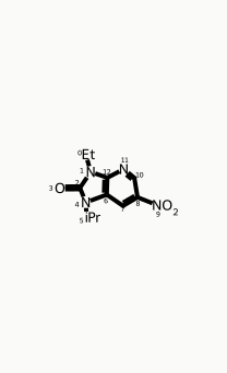 CCn1c(=O)n(C(C)C)c2cc([N+](=O)[O-])cnc21